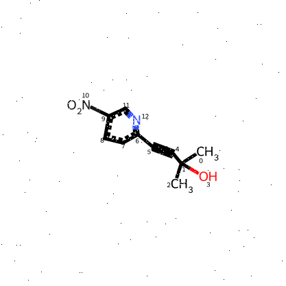 CC(C)(O)C#Cc1ccc([N+](=O)[O-])cn1